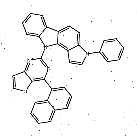 c1ccc(-n2ccc3c2ccc2c4ccccc4n(-c4nc(-c5cccc6ccccc56)c5occc5n4)c23)cc1